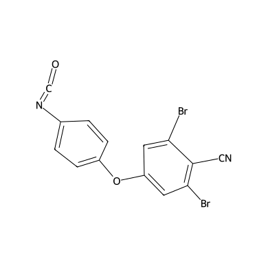 N#Cc1c(Br)cc(Oc2ccc(N=C=O)cc2)cc1Br